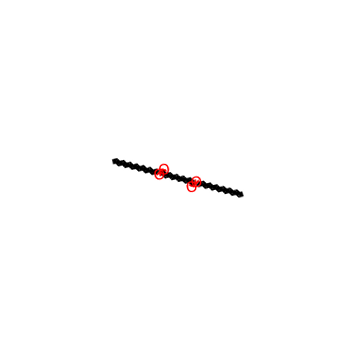 CCCCCCCCCCCCCCOC(=O)CCCCCCCCC(=O)OCCCCCCCCCCCCCC